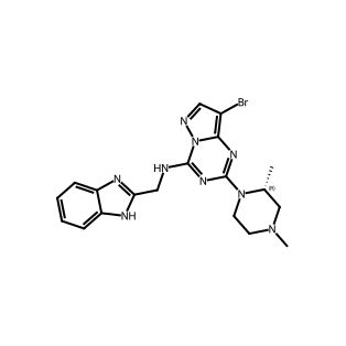 C[C@@H]1CN(C)CCN1c1nc(NCc2nc3ccccc3[nH]2)n2ncc(Br)c2n1